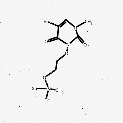 CCc1cn(C)c(=O)n(OCCO[Si](C)(C)C(C)(C)C)c1=O